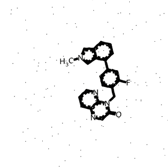 Cn1cc2cccc(-c3ccc(Cn4c(=O)cnc5cccnc54)c(F)c3)c2c1